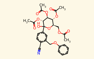 CC(=O)OC[C@H]1OC(O)(c2ccc(C#N)c(COc3ccccc3)c2)[C@H](OC(C)=O)[C@@H](OC(C)=O)[C@@H]1OC(C)=O